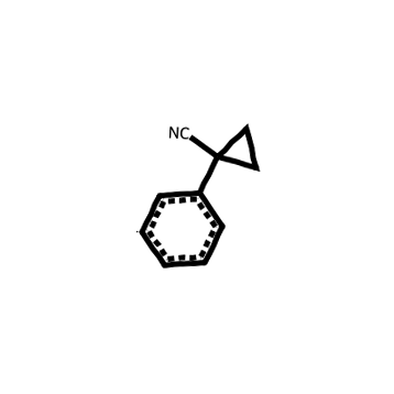 N#CC1(c2c[c]ccc2)CC1